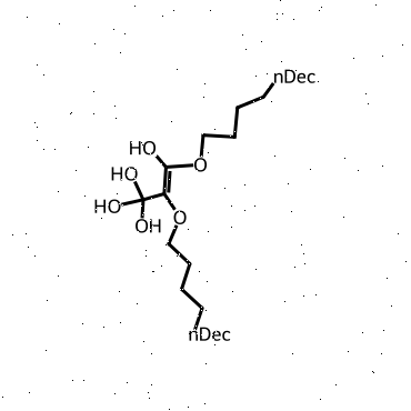 CCCCCCCCCCCCCCOC(O)=C(OCCCCCCCCCCCCCC)C(O)(O)O